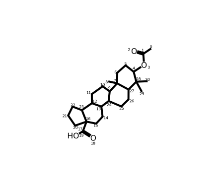 CC(=O)OC1CCC2(C)C3CCC4C(CCC5(C(=O)O)CCCC45)C3CCC2C1(C)C